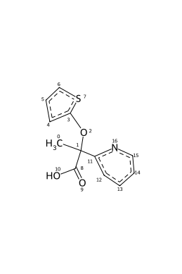 CC(Oc1cccs1)(C(=O)O)c1ccccn1